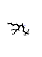 CCCCC(/C=C\CC(F)(F)F)CN(C)C